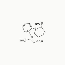 CNC1(c2ccccc2Cl)CCCCC1=O.O=C(O)CCC(=O)O